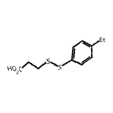 CCc1ccc(SSCCC(=O)O)cc1